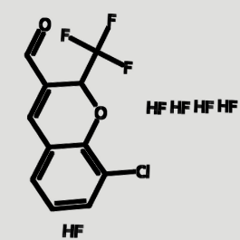 F.F.F.F.F.O=CC1=Cc2cccc(Cl)c2OC1C(F)(F)F